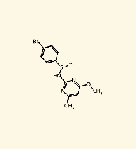 COc1cc(C)nc(N[S+]([O-])c2ccc(Br)cc2)n1